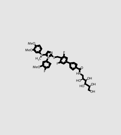 COc1cc(-n2c(N(C)c3ccc(OC)c(OC)c3)cnc2SCc2c(F)cc(-c3ccc(C(=O)NC[C@H](O)[C@@H](O)[C@H](O)[C@H](O)CO)cc3)cc2F)ccc1F